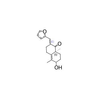 CC1=C2CC/C(=C\c3ccco3)C(=O)[C@@]2(C)CCC1O